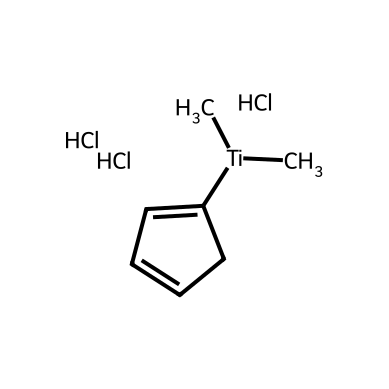 Cl.Cl.Cl.[CH3][Ti]([CH3])[C]1=CC=CC1